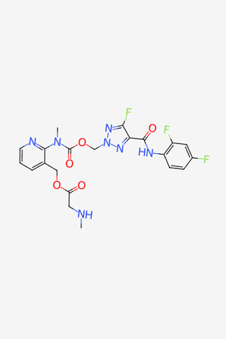 CNCC(=O)OCc1cccnc1N(C)C(=O)OCn1nc(F)c(C(=O)Nc2ccc(F)cc2F)n1